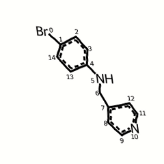 Brc1ccc(NCc2ccncc2)cc1